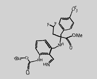 COC(=O)C(CC(F)F)(Nc1cccc(NC(=O)OC(C)(C)C)c1C=N)c1ccc(C(F)(F)F)cc1